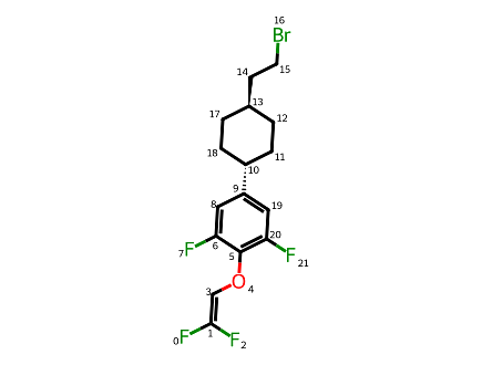 FC(F)=COc1c(F)cc([C@H]2CC[C@H](CCBr)CC2)cc1F